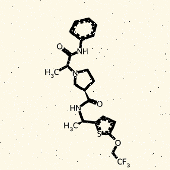 CC(C(=O)Nc1ccccc1)N1CC[C@@H](C(=O)N[C@H](C)c2ccc(OCC(F)(F)F)s2)C1